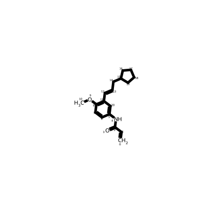 C=CC(=O)Nc1ccc(OC)c(C=CCC2CCCC2)c1